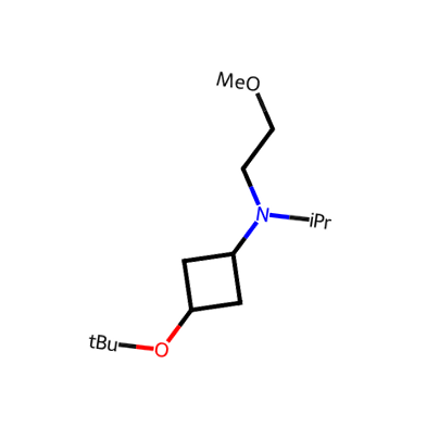 COCCN(C(C)C)C1CC(OC(C)(C)C)C1